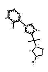 CC(C)(c1cn(-c2ncccc2F)cn1)N1CCC(O)C1